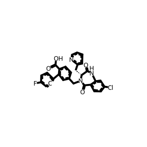 O=C(O)c1ccc(CN2C(=O)c3ccc(Cl)cc3NC(=O)[C@H]2Cc2ccccn2)cc1-c1ccc(F)cc1